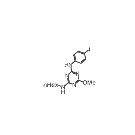 CCCCCCNc1nc(Nc2ccc(I)cc2)nc(OC)n1